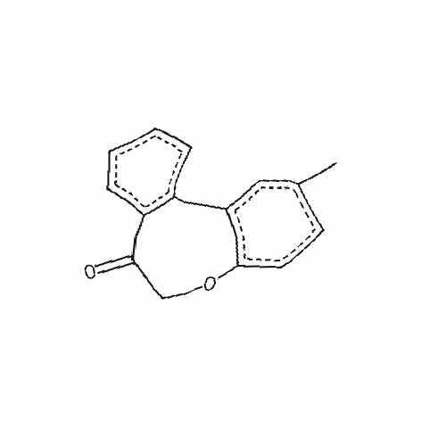 Cc1ccc2c(c1)-c1ccccc1C(=O)CO2